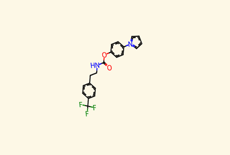 O=C(NCCc1ccc(C(F)(F)F)cc1)Oc1ccc(-n2cccc2)cc1